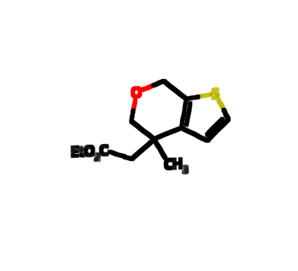 CCOC(=O)CC1(C)COCc2sccc21